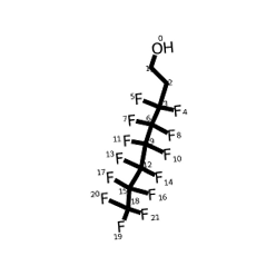 O[CH]CC(F)(F)C(F)(F)C(F)(F)C(F)(F)C(F)(F)C(F)(F)F